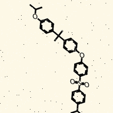 CC(C)Oc1ccc(C(C)(C)c2ccc(Oc3ccc(S(=O)(=O)c4ccc(C(C)C)cc4)cc3)cc2)cc1